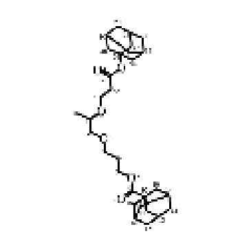 CC(COCCCOC(=O)C12CC3CC(CC(C3)C1)C2)OCCC(=O)OC12CC3CC(CC(C3)C1)C2